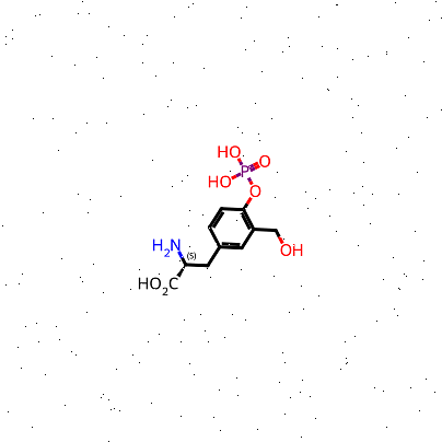 N[C@@H](Cc1ccc(OP(=O)(O)O)c(CO)c1)C(=O)O